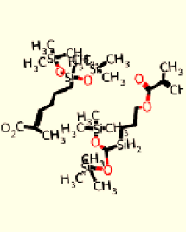 C=C(C)C(=O)OCCC[SiH2]C(O[Si](C)(C)C)O[Si](C)(C)C.CC(=CCCC[Si](C)(O[Si](C)(C)C)O[Si](C)(C)C)C(=O)O